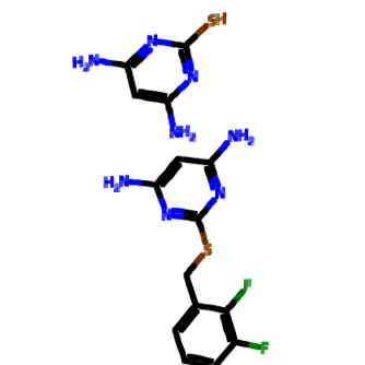 Nc1cc(N)nc(S)n1.Nc1cc(N)nc(SCc2cccc(F)c2F)n1